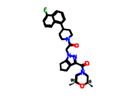 C[C@@H]1CN(C(=O)c2nn(CC(=O)N3CCC(c4cccc5c(F)cccc45)CC3)c3c2CCC3)C[C@H](C)O1